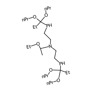 CCCOC(CC)(OCCC)PCCN(CCPC(CC)(OCCC)OCCC)C(C)OCC